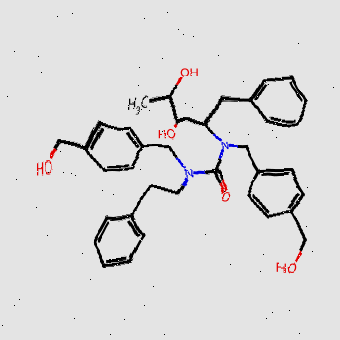 CC(O)C(O)C(Cc1ccccc1)N(Cc1ccc(CO)cc1)C(=O)N(CCc1ccccc1)Cc1ccc(CO)cc1